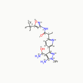 CC(C(=O)Nc1cc(C(C)(C)C(F)(F)F)on1)c1ccc(-c2nn(C(C)C)c(N)c2C(N)O)cn1